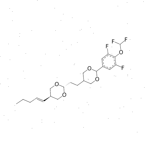 CCC/C=C/[C@H]1CO[C@H](CCC2COC(c3cc(F)c(OC(F)F)c(F)c3)OC2)OC1